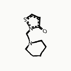 O=c1ccsn1CN1CCCCC1